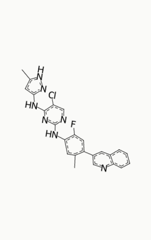 Cc1cc(Nc2nc(Nc3cc(C)c(-c4cnc5ccccc5c4)cc3F)ncc2Cl)n[nH]1